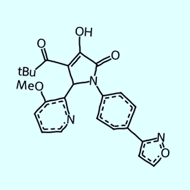 COc1cccnc1C1C(C(=O)C(C)(C)C)=C(O)C(=O)N1c1ccc(-c2ccon2)cc1